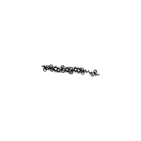 C=CC(=O)OCCCCCC(=O)Oc1ccc2cc(C(=O)Oc3ccc(OC(=O)c4ccc5cc(OC(=O)COC(=O)C=C)ccc5c4)cc3C)ccc2c1